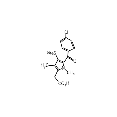 CSc1c(C)c(CC(=O)O)n(C)c1C(=O)c1ccc(Cl)cc1